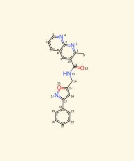 Cc1nc2ncccc2cc1C(=O)NCc1cc(-c2ccccc2)no1